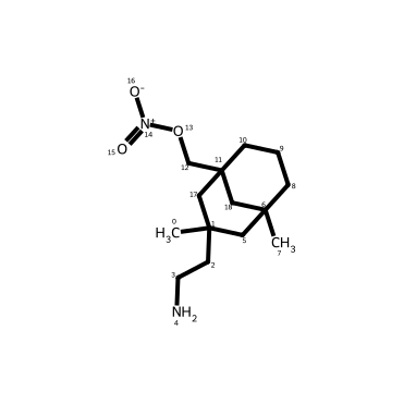 CC1(CCN)CC2(C)CCCC(CO[N+](=O)[O-])(C1)C2